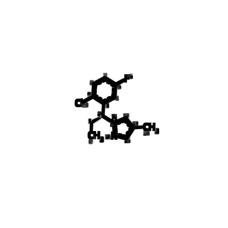 CC[C@H](c1cc(F)ccc1Cl)n1cc(C)cn1